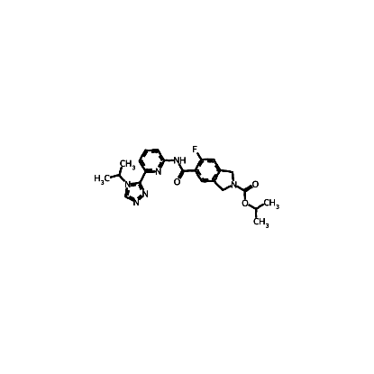 CC(C)OC(=O)N1Cc2cc(F)c(C(=O)Nc3cccc(-c4nncn4C(C)C)n3)cc2C1